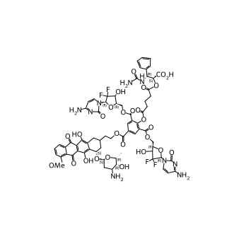 COc1cccc2c1C(=O)c1c(O)c3c(c(O)c1C2=O)CC(CCOC(=O)c1cc(C(=O)OC[C@H]2O[C@@H](n4ccc(N)nc4=O)C(F)(F)C2O)c(OC(=O)CCCC(=O)O[C@H](C(=O)O)[C@H](NC(N)=O)c2ccccc2)c(C(=O)OC[C@H]2O[C@@H](n4ccc(N)nc4=O)C(F)(F)C2O)c1)C[C@@H]3O[C@@H]1CC(N)[C@@H](O)[C@@H](C)O1